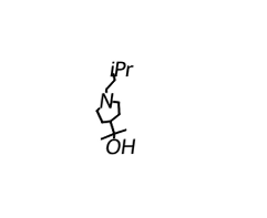 CC(C)CCN1CCC(C(C)(C)O)CC1